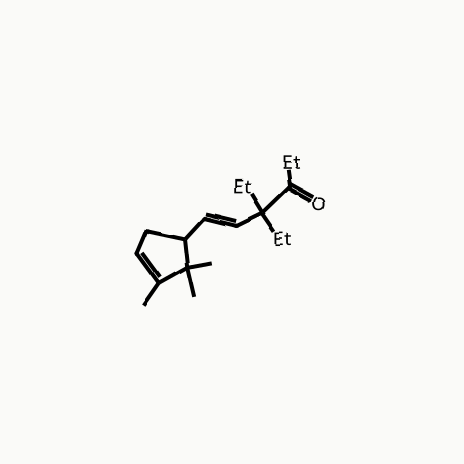 CCC(=O)C(C=CC1CC=C(C)C1(C)C)(CC)CC